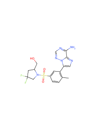 Cc1ccc(S(=O)(=O)N2CC(F)(F)CC2CO)cc1-c1cnc2c(N)ncnn12